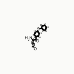 N/C(=N/OC=O)C(=O)c1ccc(Sc2ccccc2)cc1